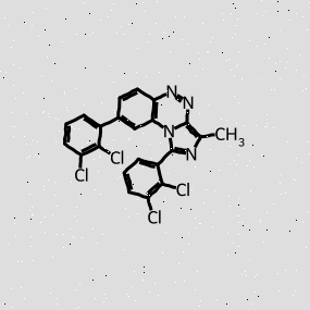 Cc1nc(-c2cccc(Cl)c2Cl)n2c1nnc1ccc(-c3cccc(Cl)c3Cl)cc12